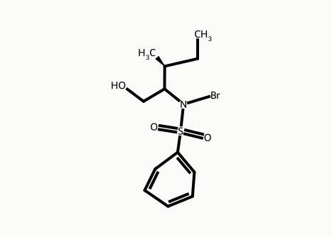 CC[C@H](C)C(CO)N(Br)S(=O)(=O)c1ccccc1